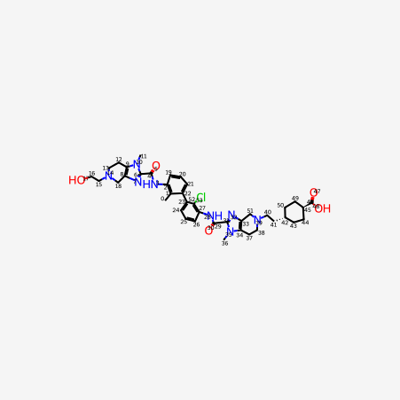 Cc1c(NC(=O)c2nc3c(n2C)CCN(CCO)C3)cccc1-c1cccc(NC(=O)c2nc3c(n2C)CCN(CC[C@H]2CC[C@H](C(=O)O)CC2)C3)c1Cl